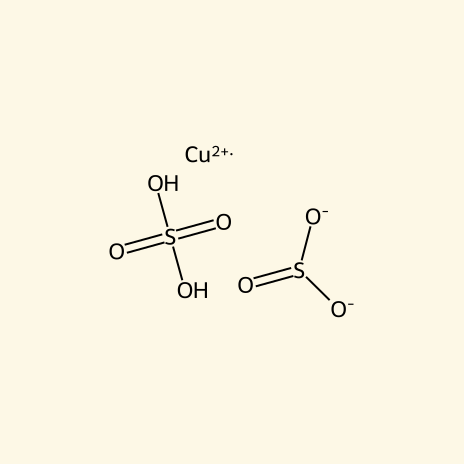 O=S(=O)(O)O.O=S([O-])[O-].[Cu+2]